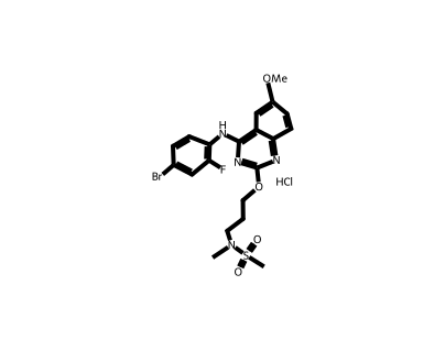 COc1ccc2nc(OCCCN(C)S(C)(=O)=O)nc(Nc3ccc(Br)cc3F)c2c1.Cl